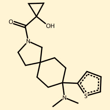 CN(C)C1(c2cccs2)CCC2(CCN(C(=O)C3(O)CC3)C2)CC1